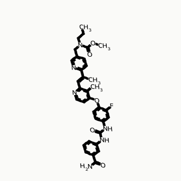 CCCN(Cc1ccc(/C(C)=C/c2nccc(Oc3ccc(NC(=O)Nc4cccc(C(N)=O)c4)cc3F)c2C)nc1)C(=O)OC